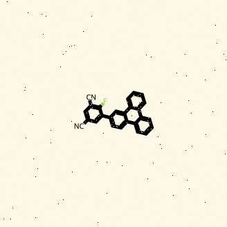 N#Cc1cc(C#N)c(F)c(-c2ccc3c4ccccc4c4ccccc4c3c2)c1